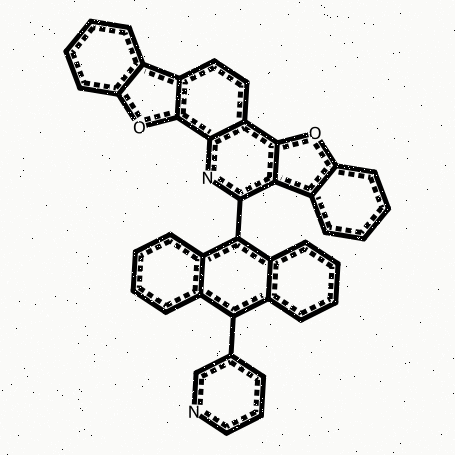 c1cncc(-c2c3ccccc3c(-c3nc4c(ccc5c6ccccc6oc54)c4oc5ccccc5c34)c3ccccc23)c1